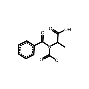 CC(C(=O)O)N(C(=O)O)C(=O)c1ccccc1